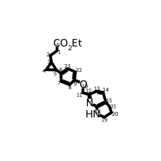 CCOC(=O)CCC1CC1c1ccc(OCc2ccc3c(n2)NCCC3)cc1